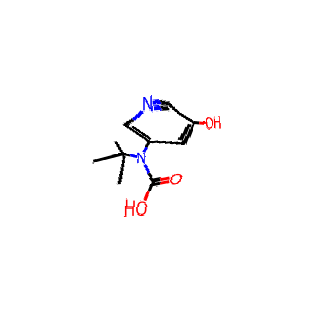 CC(C)(C)N(C(=O)O)c1cncc(O)c1